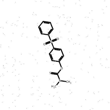 CN(C)C(=S)Oc1ccc(S(=O)(=O)c2ccccc2)cc1